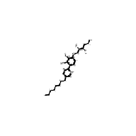 CCCCCCCCc1ccc(-c2ccc(OC[C@@H](F)[C@H](F)CCC)c(F)c2F)nc1